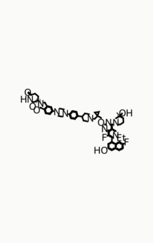 CCc1c(F)ccc2cc(O)cc(-c3ncc4c(N5CCC[C@@](C)(O)C5)nc(OCC5(CN6CCC(c7ccc(N8CCN(c9ccc%10c(c9)CN([C@H]9CCC(=O)NC9=O)C%10=O)CC8)cc7)CC6)CC5)nc4c3F)c12